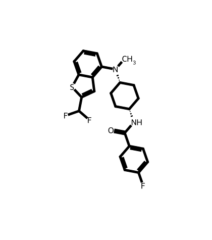 CN(c1cccc2sc(C(F)F)cc12)[C@H]1CC[C@@H](NC(=O)c2ccc(F)cc2)CC1